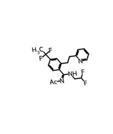 CC(=O)/N=C(/NCC(F)F)c1ccc(C(C)(F)F)cc1CCc1ccccn1